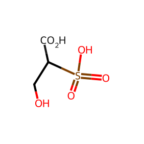 O=C(O)C(CO)S(=O)(=O)O